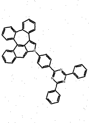 c1ccc(-c2nc(-c3ccccc3)nc(-c3ccc(-n4cc5c6c(c7ccccc7cc64)-c4ccccc4-c4ccccc4-5)cc3)n2)cc1